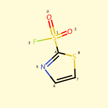 O=S(=O)(F)c1nccs1